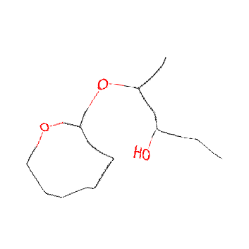 CCC(O)C(C)OC1CCCCO1